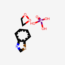 C1COO1.O=P(O)(O)O.c1ccc2scnc2c1